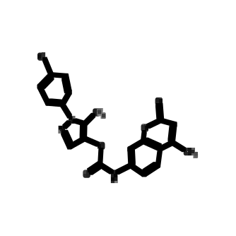 Cc1cc(=O)oc2cc(NC(=O)Oc3cnn(-c4ccc(Cl)cc4)c3C(F)(F)F)ccc12